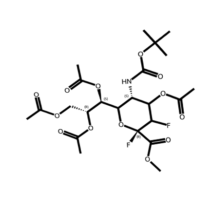 COC(=O)[C@]1(F)OC([C@H](OC(C)=O)[C@@H](COC(C)=O)OC(C)=O)[C@H](NC(=O)OC(C)(C)C)C(OC(C)=O)C1F